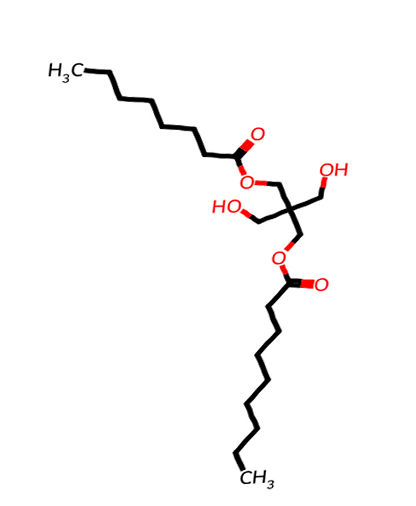 CCCCCCCCC(=O)OCC(CO)(CO)COC(=O)CCCCCCC